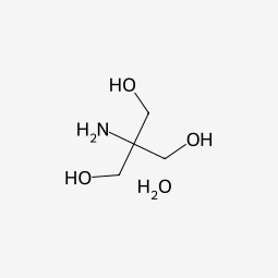 NC(CO)(CO)CO.O